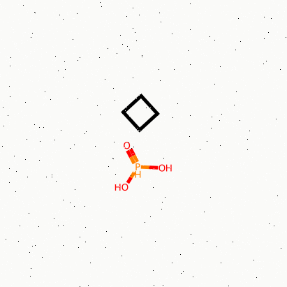 C1CCC1.O=[PH](O)O